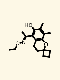 CCON=C(C)c1c(O)c(C)c(C)c2c1CCC1(CCC1)O2